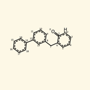 O=c1[nH]cccc1Cc1cccc(-c2ccccc2)c1